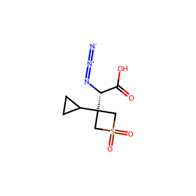 [N-]=[N+]=N[C@H](C(=O)O)C1(C2CC2)CS(=O)(=O)C1